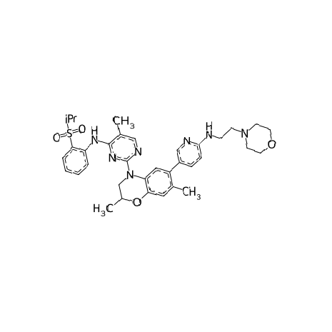 Cc1cc2c(cc1-c1ccc(NCCN3CCOCC3)nc1)N(c1ncc(C)c(Nc3ccccc3S(=O)(=O)C(C)C)n1)CC(C)O2